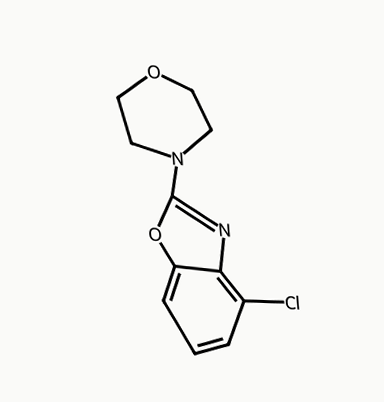 Clc1cccc2oc(N3CCOCC3)nc12